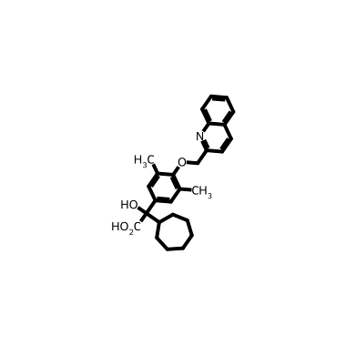 Cc1cc(C(O)(C(=O)O)C2CCCCCC2)cc(C)c1OCc1ccc2ccccc2n1